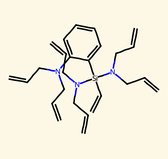 C=CCN(CC=C)c1ccccc1[Si](C=C)(N(CC=C)CC=C)N(CC=C)CC=C